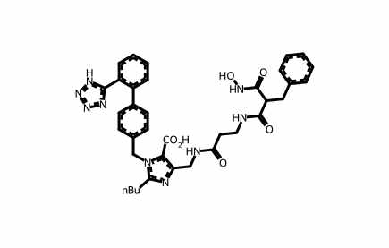 CCCCc1nc(CNC(=O)CCNC(=O)C(Cc2ccccc2)C(=O)NO)c(C(=O)O)n1Cc1ccc(-c2ccccc2-c2nnn[nH]2)cc1